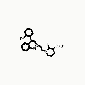 CCc1ccccc1C(=COCCN1CCCC(C(=O)O)C1I)c1ccccc1CC